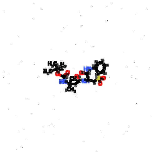 CC(C)(CC(=O)N[C@@H]1CS(=O)(=O)c2ccccc2NC1=O)NC(=O)OC(C)(C)C